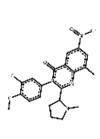 COc1ccc(-n2c(C3CCCN3C)nc3c(C)cc([N+](=O)[O-])cc3c2=O)cc1F